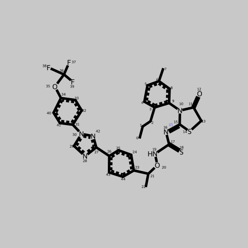 CCCc1ccc(C)cc1N1C(=O)CS/C1=N\C(=S)NOC(C)c1ccc(-c2ncn(-c3ccc(OC(F)(F)F)cc3)n2)cc1